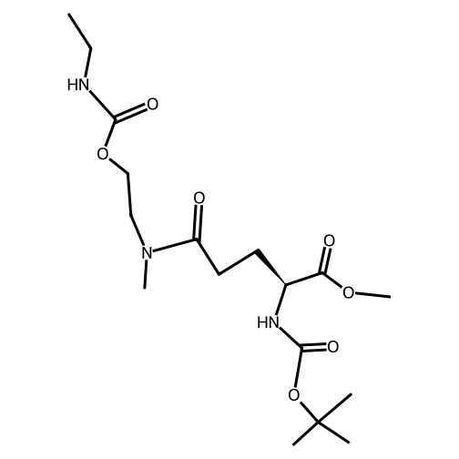 CCNC(=O)OCCN(C)C(=O)CC[C@H](NC(=O)OC(C)(C)C)C(=O)OC